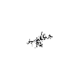 Cc1nnc(SCC2=C(C(=O)O)N3C(=O)C(NC(=O)/C(=N/OCC(=O)NN)c4csc(N)n4)[C@H]3SC2)s1.Cl.Cl